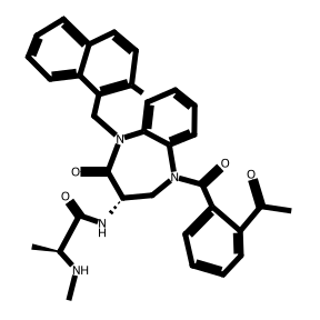 CN[C@@H](C)C(=O)N[C@H]1CN(C(=O)c2ccccc2C(C)=O)c2ccccc2N(Cc2c(C)ccc3ccccc23)C1=O